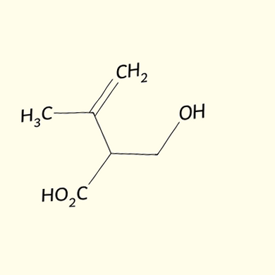 C=C(C)C(CO)C(=O)O